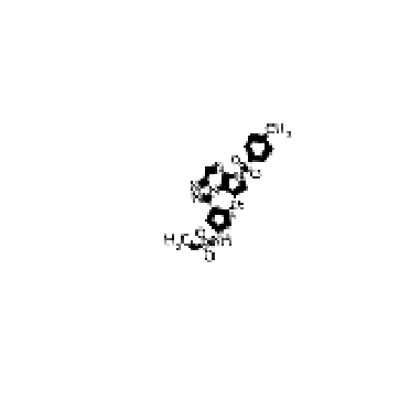 C=CS(=O)(=O)N[C@H]1C[C@@H](CC)[C@@H](c2nnc3cnc4c(ccn4S(=O)(=O)c4ccc(C)cc4)n23)C1